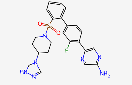 Nc1cnc(-c2ccc(-c3ccccc3S(=O)(=O)N3CCC(N4C=NNC4)CC3)cc2F)cn1